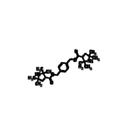 CC1(C)CC(C(=O)OCc2ccc(COC(=O)C3CC(C)(C)NC3(C)C)cc2)C(C)(C)N1